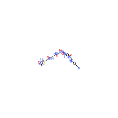 CN(C(=O)NCCNC(=O)CCCCCNC(=O)CCCC[C@@H]1SC[C@@H]2NC(=O)N[C@@H]21)C1=CN(c2ccc(C(=O)NCc3cn(-c4ccc(C#CC#N)cc4)nn3)cc2)NO1